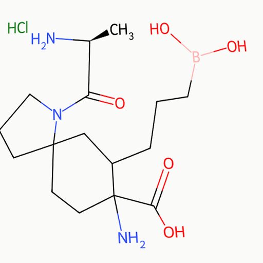 C[C@H](N)C(=O)N1CCCC12CCC(N)(C(=O)O)C(CCCB(O)O)C2.Cl